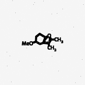 COC1CCc2oc(C)c(C)c2C1